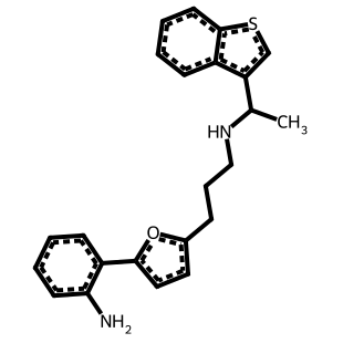 CC(NCCCc1ccc(-c2ccccc2N)o1)c1csc2ccccc12